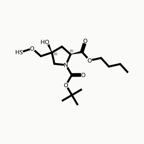 CCCCOC(=O)[C@@H]1C[C@@](O)(COS)CN1C(=O)OC(C)(C)C